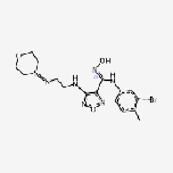 Cc1ccc(N/C(=N\O)c2nonc2NCCN=S2CCOCC2)cc1Br